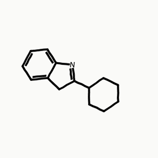 c1ccc2c(c1)CC(C1CCCCC1)=N2